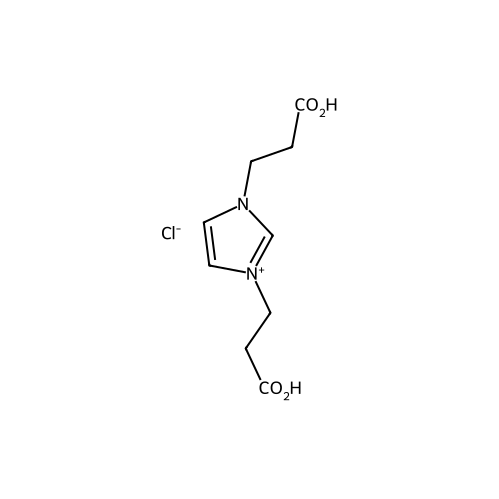 O=C(O)CCn1cc[n+](CCC(=O)O)c1.[Cl-]